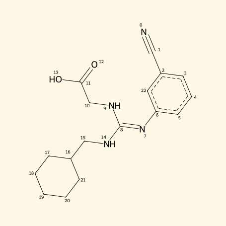 N#Cc1cccc(N=C(NCC(=O)O)NCC2CCCCC2)c1